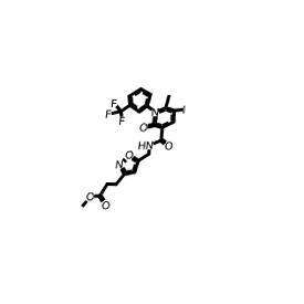 COC(=O)CCc1cc(CNC(=O)c2cc(I)c(C)n(-c3cccc(C(F)(F)F)c3)c2=O)on1